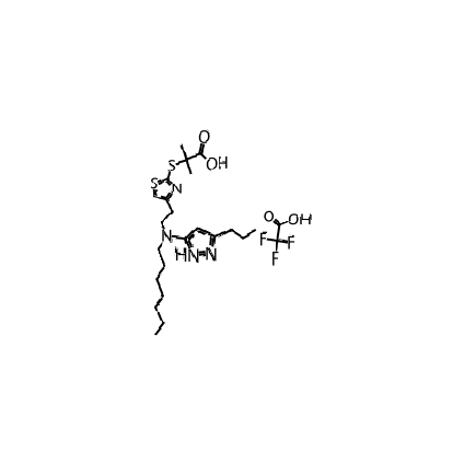 CCCCCCCN(CCc1csc(SC(C)(C)C(=O)O)n1)c1cc(CCC)n[nH]1.O=C(O)C(F)(F)F